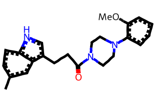 COc1ccccc1N1CCN(C(=O)CCc2c[nH]c3ccc(C)cc23)CC1